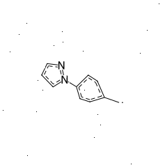 [CH2]c1ccc(-n2cccn2)cc1